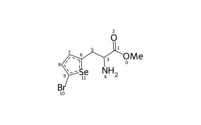 COC(=O)C(N)Cc1ccc(Br)[se]1